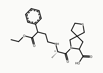 CCOC(=O)C(CCN[C@@H](C)C(=O)N1CC2(CCSC2)CC1C(=O)O)c1ccccc1